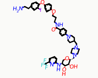 NCCc1ccc(Oc2ccc(OCCCNC(=O)c3ccc(N4CCC(CN5CCN(C[C@H]6OC[C@H](Nc7cccc(C(F)(F)F)n7)[C@@H](O)[C@H]6O)CC5)CC4)cc3)cc2)c(I)c1